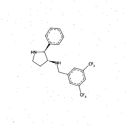 FC(F)(F)c1cc(CN[C@H]2CCN[C@H]2c2ccccc2)cc(C(F)(F)F)c1